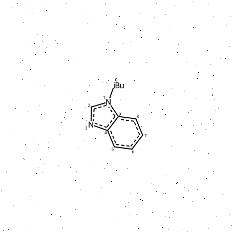 CCC(C)n1cnc2ccccc21